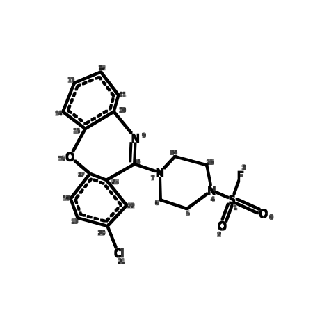 O=S(=O)(F)N1CCN(C2=Nc3ccccc3Oc3ccc(Cl)cc32)CC1